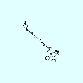 Cc1sc2c(c1C)C(c1ccc(Cl)cc1)=NC(CC(=O)NCCOCCOCCOCCOCCOC1CCNCC1)c1nnc(C)n1-2